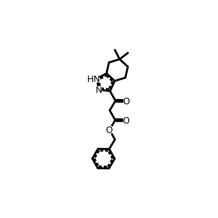 CC1(C)CCc2c(C(=O)CC(=O)OCc3ccccc3)n[nH]c2C1